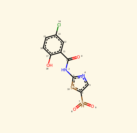 O=C(Nc1ncc([SH](=O)=O)s1)c1cc(Cl)ccc1O